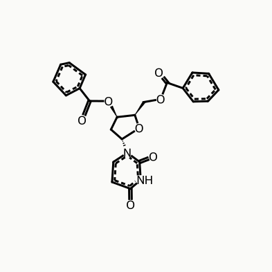 O=C(OC[C@H]1O[C@H](n2ccc(=O)[nH]c2=O)C[C@H]1OC(=O)c1ccccc1)c1ccccc1